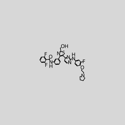 O=C(Nc1cccc(-c2nc(CO)sc2-c2ccnc(Nc3ccc(OCCN4CCCC4)c(F)c3)n2)c1)c1c(F)cccc1F